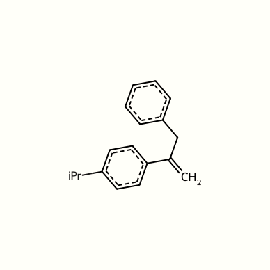 C=C(Cc1ccccc1)c1ccc(C(C)C)cc1